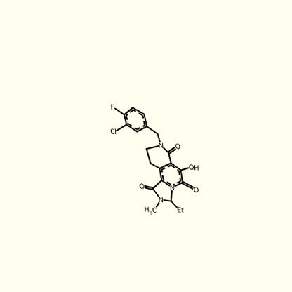 CCC1N(C)C(=O)c2c3c(c(O)c(=O)n21)C(=O)N(Cc1ccc(F)c(Cl)c1)CC3